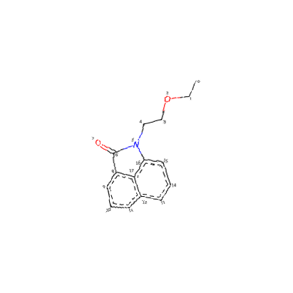 CCOCCN1C(=O)c2cccc3cccc1c23